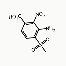 CS(=O)(=O)c1ccc(C(=O)O)c([N+](=O)[O-])c1N